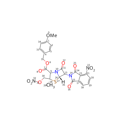 COc1ccc(COC(=O)C2N3C(=O)C(N4C(=O)c5cccc([N+](=O)[O-])c5C4=O)[C@@H]3S[C@@]2(C)CO[N+](=O)[O-])cc1